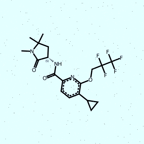 CN1C(=O)[C@@H](NC(=O)c2ccc(C3CC3)c(OCC(F)(F)C(F)(F)F)n2)CC1(C)C